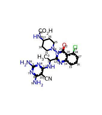 CC(Nc1nc(N)nc(N)c1C#N)c1nc2cccc(Cl)c2c(=O)n1N1CCC(NC(=O)O)CC1